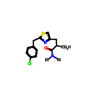 CCN(CC)C(=O)C(Cc1csc(Cc2ccc(Cl)cc2)n1)C(=O)O